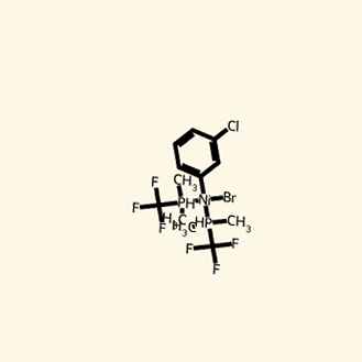 C[PH](C)(C(F)(F)F)[Ni]([Br])([c]1cccc(Cl)c1)[PH](C)(C)C(F)(F)F